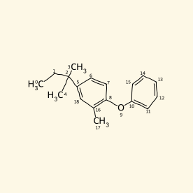 CCC(C)(C)c1ccc(Oc2ccccc2)c(C)c1